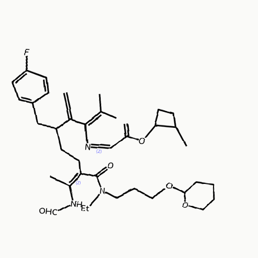 C=C(/C=N\C(C(=C)C(CC/C(C(=O)N(CC)CCCOC1CCCCO1)=C(\C)NC=O)Cc1ccc(F)cc1)=C(C)C)OC1CCC1C